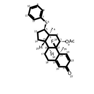 CC(=O)O[C@H]1C[C@]2(C)[C@H](Sc3ccccc3)CC[C@H]2[C@@H]2CCC3=CC(=O)C=C[C@]3(C)C12F